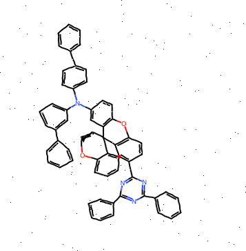 c1ccc(-c2ccc(N(c3cccc(-c4ccccc4)c3)c3ccc4c(c3)C3(c5ccccc5Oc5ccccc53)c3cc(-c5nc(-c6ccccc6)nc(-c6ccccc6)n5)ccc3O4)cc2)cc1